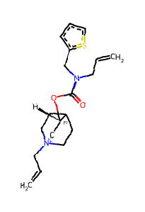 C=CCN(Cc1cccs1)C(=O)O[C@H]1C[N+]2(CC=C)CCC1CC2